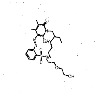 CCCCC(CC)Cn1c(O)c(/N=N/c2ccccc2S(=O)(=O)NCCOCCO)c(C)c(C)c1=O